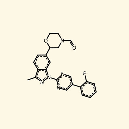 Cc1nn(-c2ncc(-c3ccccc3F)cn2)c2cc(C3CN(C=O)CCO3)ccc12